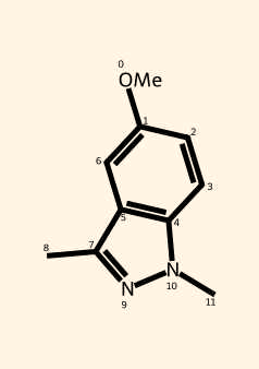 COc1ccc2c(c1)c(C)nn2C